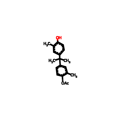 CC(=O)Oc1ccc(C(C)(C)c2ccc(O)c(C)c2)cc1C